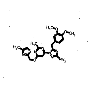 COc1ccc(Cc2nc(N)nn2-c2cc(OCc3nc(C)cs3)nc(C)n2)cc1OC